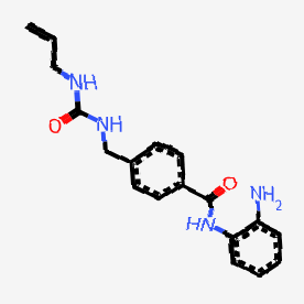 C=CCNC(=O)NCc1ccc(C(=O)Nc2ccccc2N)cc1